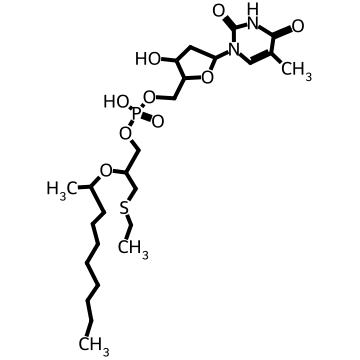 CCCCCCCCC(C)OC(COP(=O)(O)OCC1OC(n2cc(C)c(=O)[nH]c2=O)CC1O)CSCC